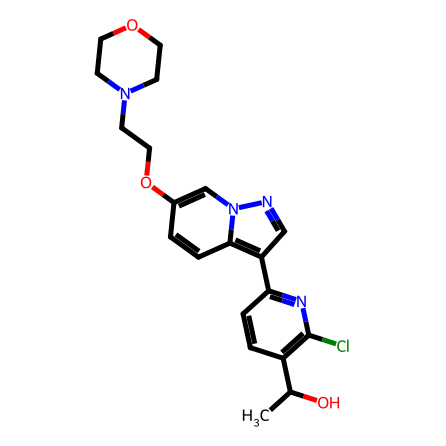 CC(O)c1ccc(-c2cnn3cc(OCCN4CCOCC4)ccc23)nc1Cl